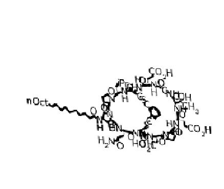 CCCCCCCC/C=C/CCCCCCCC(=O)N[C@H]1C[C@H]2C(=O)N[C@@H](CCC(N)=O)C(=O)N[C@H]3CSCc4ccccc4CSC[C@H](NC(=O)[C@H](CCC(=O)O)NC(=O)CNC(=O)[C@H]([C@@H](C)O)NC(=O)[C@H](CCC(=O)O)NC(=O)[C@@H]4CCCN4C(=O)[C@@H](CC(=O)O)NC3=O)C(=O)N[C@@H](CC(C)C)C(=O)N3CCC[C@@H]3C(=O)N2C1